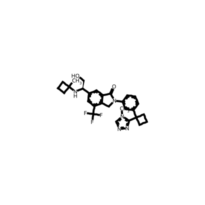 Cn1cnnc1C1(c2cccc(N3Cc4c(cc([C@H](CO)NC5(C)CCC5)cc4C(F)(F)F)C3=O)c2)CCC1